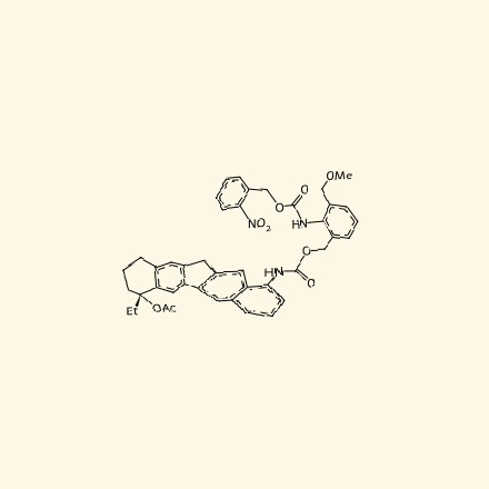 CC[C@@]1(OC(C)=O)CCCc2cc3c(cc21)-c1cc2cccc(NC(=O)OCc4cccc(COC)c4NC(=O)OCc4ccccc4[N+](=O)[O-])c2cc1C3